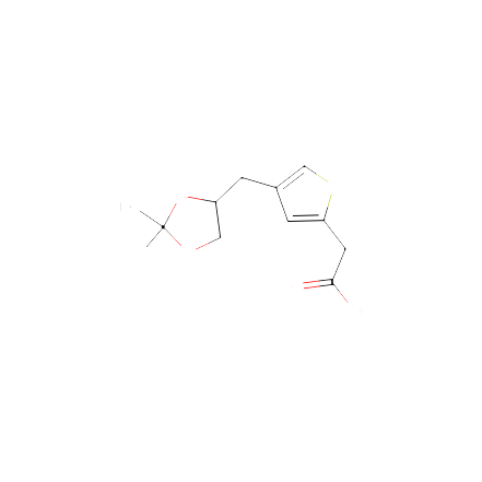 CC1(C)OCC(Cc2csc(CC(=O)O)c2)O1